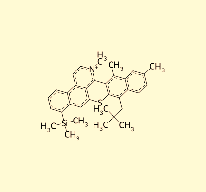 Cc1ccc2c(CC(C)(C)C)c3c(c(C)c2c1)-c1c2c(cc4c([Si](C)(C)C)cccc4c2cc[n+]1C)S3